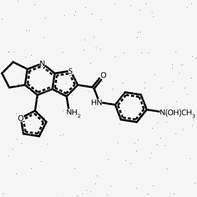 CN(O)c1ccc(NC(=O)c2sc3nc4c(c(-c5ccco5)c3c2N)CCC4)cc1